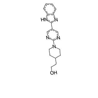 OCCC1CCN(c2ncc(-c3nc4ccccc4[nH]3)cn2)CC1